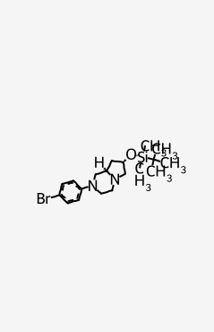 CC(C)(C)[Si](C)(C)O[C@@H]1C[C@H]2CN(c3ccc(Br)cc3)CCN2C1